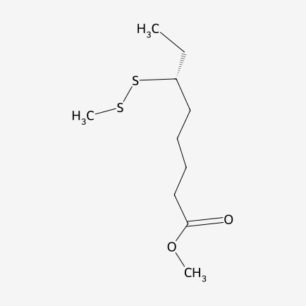 CC[C@H](CCCCC(=O)OC)SSC